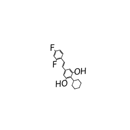 Oc1cc(C=Cc2ccc(F)cc2F)cc(O)c1C1CCCCC1